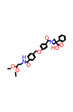 CCOC(CCNC(=O)c1ccc(COc2ccc(C(=O)N3CC(C(=O)O)(c4ccccc4)C3)cc2)cc1)OCC